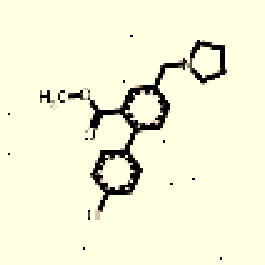 COC(=O)c1cc(CN2CCCC2)ccc1-c1ccc(Cl)cc1